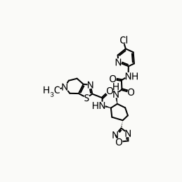 CN1CCc2nc(C(=O)N[C@@H]3C[C@@H](c4ncon4)CC[C@@H]3NC(=O)C(=O)Nc3ccc(Cl)cn3)sc2C1